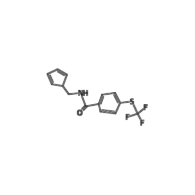 O=C(NCC1C=CC=C1)c1ccc(SC(F)(F)F)cc1